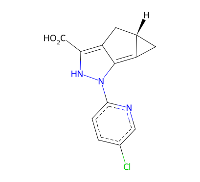 O=C(O)C1=C2C[C@@H]3CC3=C2N(c2ccc(Cl)cn2)N1